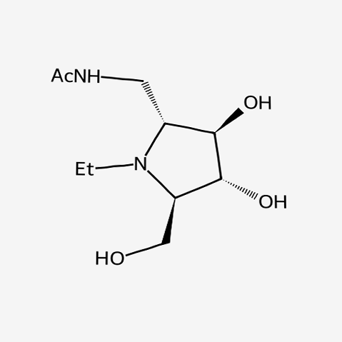 CCN1[C@H](CO)[C@@H](O)[C@H](O)[C@H]1CNC(C)=O